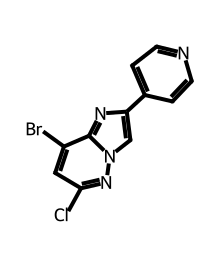 Clc1cc(Br)c2nc(-c3ccncc3)cn2n1